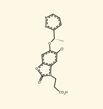 C[C@H](Oc1cc2oc(=O)n(CCC(=O)O)c2cc1Cl)c1cccnn1